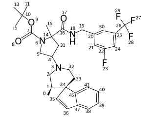 C[C@H]1CN(C2CN(C(=O)OC(C)(C)C)C(C)(C(=O)NCc3cc(F)cc(C(F)(F)F)c3)C2)CC[C@@]12C=Cc1ccccc12